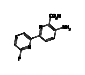 Nc1ccc(-c2cccc(F)n2)nc1C(=O)O